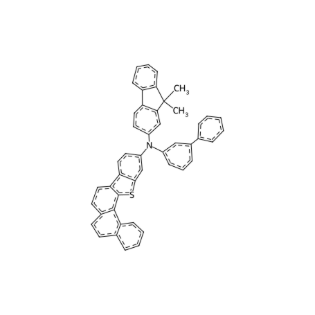 CC1(C)c2ccccc2-c2ccc(N(c3cccc(-c4ccccc4)c3)c3ccc4c(c3)sc3c4ccc4ccc5ccccc5c43)cc21